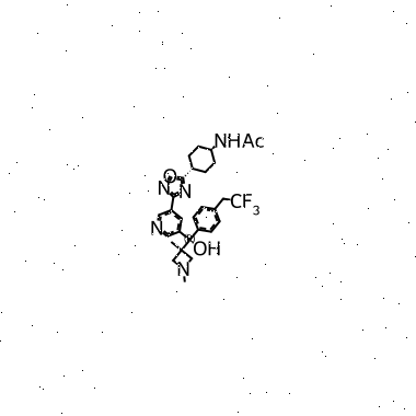 CC(=O)N[C@H]1CC[C@H](c2nc(-c3cncc([C@@](O)(c4ccc(CC(F)(F)F)cc4)C4(C)CN(C)C4)c3)no2)CC1